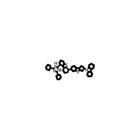 C1=Cc2c(sc3cccc(C4NC(c5ccccc5)=NC(c5ccccc5)N4)c23)C(c2ccc3c(c2)sc2cc(-n4c5ccccc5c5ccccc54)ccc23)C1